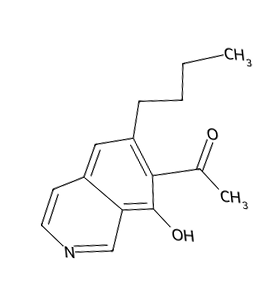 CCCCc1cc2ccncc2c(O)c1C(C)=O